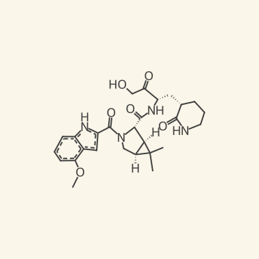 COc1cccc2[nH]c(C(=O)N3C[C@H]4[C@@H]([C@H]3C(=O)N[C@@H](C[C@@H]3CCCNC3=O)C(=O)CO)C4(C)C)cc12